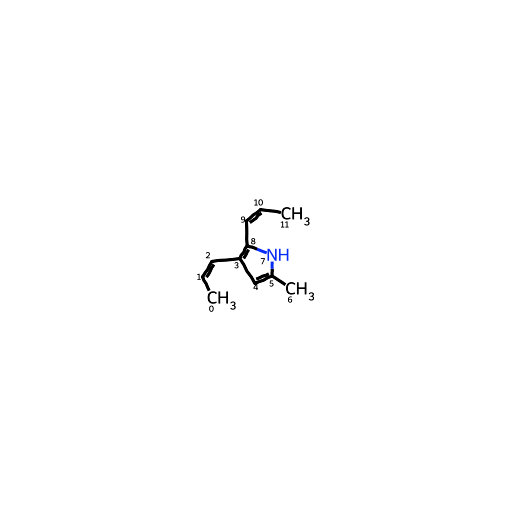 C/C=C\c1cc(C)[nH]c1/C=C\C